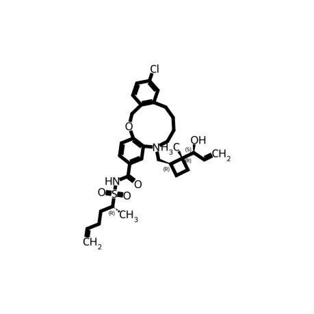 C=CCC[C@@H](C)S(=O)(=O)NC(=O)c1ccc2c(c1)N(C[C@@H]1CC[C@@]1(C)[C@@H](O)C=C)CCCCc1cc(Cl)ccc1CO2